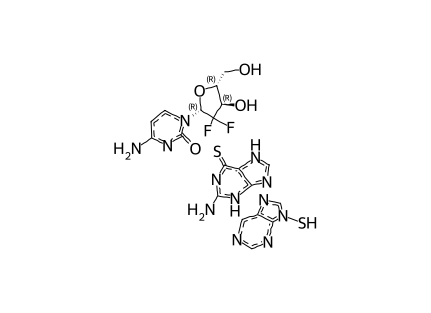 Nc1ccn([C@@H]2O[C@H](CO)[C@@H](O)C2(F)F)c(=O)n1.Nc1nc(=S)c2[nH]cnc2[nH]1.Sn1cnc2cncnc21